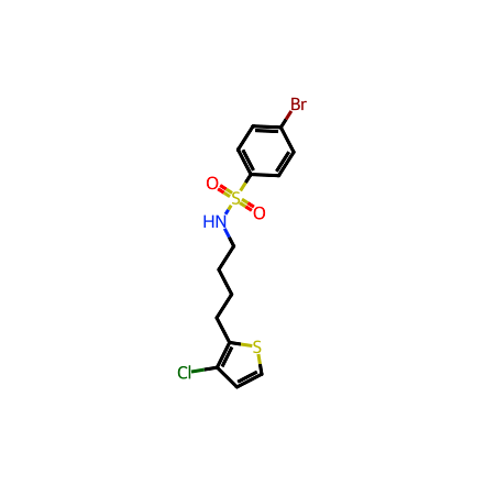 O=S(=O)(NCCCCc1sccc1Cl)c1ccc(Br)cc1